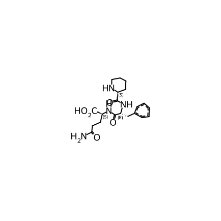 NC(=O)CC[C@H](NC(=O)[C@@H](Cc1ccccc1)NC(=O)[C@@H]1CCCCN1)C(=O)O